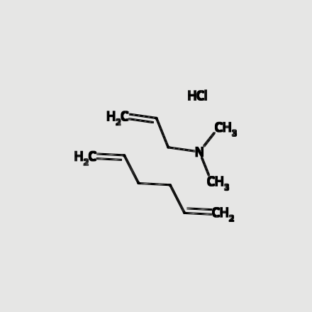 C=CCCC=C.C=CCN(C)C.Cl